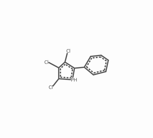 Clc1[pH]c(-c2ccccc2)c(Cl)c1Cl